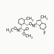 CO/N=C(/C(=O)OC)c1cccc(C)c1CO/N=C1\C=C(C)c2ccc(F)cc21